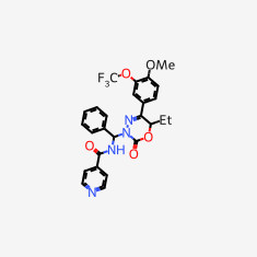 CCC1OC(=O)N(C(NC(=O)c2ccncc2)c2ccccc2)N=C1c1ccc(OC)c(OC(F)(F)F)c1